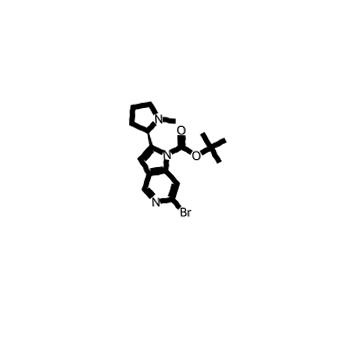 CN1CCC[C@@H]1c1cc2cnc(Br)cc2n1C(=O)OC(C)(C)C